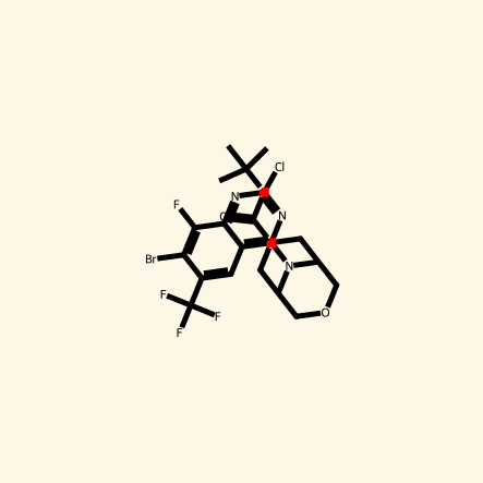 CC(C)(C)OC(=O)N1CC2COCC(C1)N2c1nc(Cl)nc2c(F)c(Br)c(C(F)(F)F)cc12